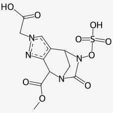 COC(=O)C1c2nn(CC(=O)O)cc2C2CN1C(=O)N2OS(=O)(=O)O